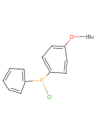 CC(C)(C)Oc1ccc(P(Cl)c2ccccc2)cc1